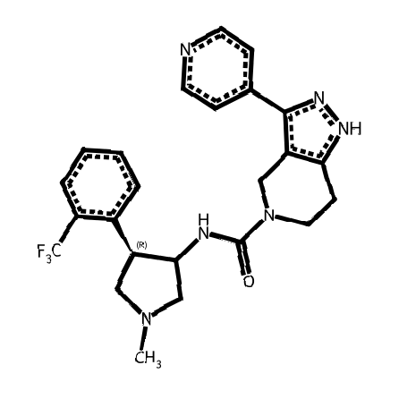 CN1CC(NC(=O)N2CCc3[nH]nc(-c4ccncc4)c3C2)[C@H](c2ccccc2C(F)(F)F)C1